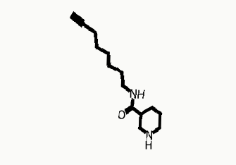 C#CCCCCCCNC(=O)C1CCCNC1